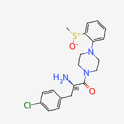 C[S+]([O-])c1ccccc1N1CCN(C(=O)[C@H](N)Cc2ccc(Cl)cc2)CC1